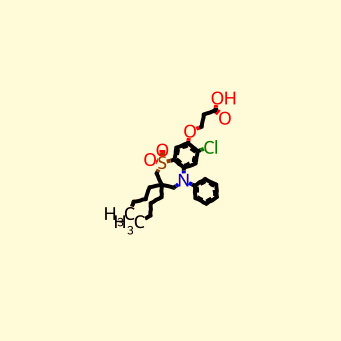 CCCCC1(CCCC)CN(c2ccccc2)c2cc(Cl)c(OCCC(=O)O)cc2S(=O)(=O)C1